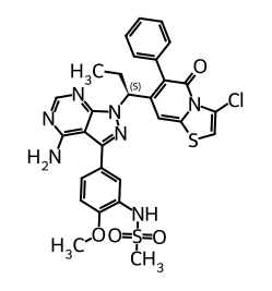 CC[C@@H](c1cc2scc(Cl)n2c(=O)c1-c1ccccc1)n1nc(-c2ccc(OC)c(NS(C)(=O)=O)c2)c2c(N)ncnc21